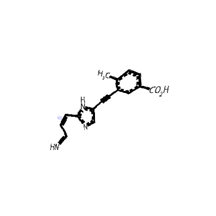 Cc1ccc(C(=O)O)cc1C#Cc1cnc(/C=C\C=N)[nH]1